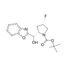 CC(C)(C)OC(=O)N1C[C@@H](F)C[C@H]1C(O)c1nc2ccccc2o1